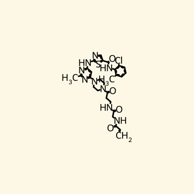 C=CC(=O)NCC(=O)NCCC(=O)N1CCN(c2cc(Nc3ncc(C(=O)Nc4c(C)cccc4Cl)s3)nc(C)n2)CC1